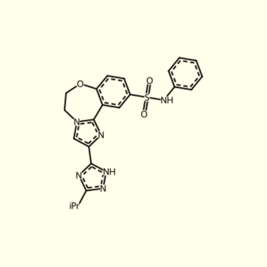 CC(C)c1n[nH]c(-c2cn3c(n2)-c2cc(S(=O)(=O)Nc4ccccc4)ccc2OCC3)n1